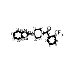 O=C(c1ccccc1C(F)(F)F)N1CCN(c2nc3ccccc3s2)CC1